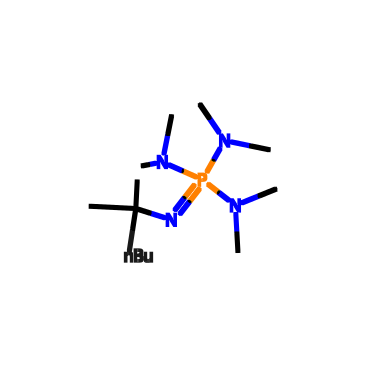 CCCCC(C)(C)N=P(N(C)C)(N(C)C)N(C)C